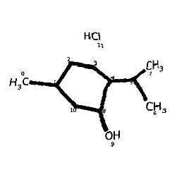 CC1CCC(C(C)C)C(O)C1.Cl